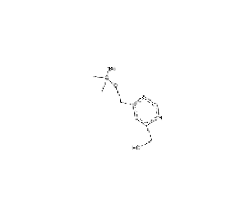 CC(C)(C)[Si](C)(C)OCc1ccnc(CO)c1